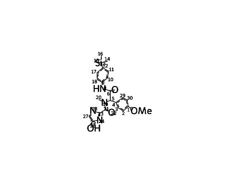 COc1ccc(C(C(=O)Nc2ccc([Si](C)(C)C)cc2)N(C)C(=O)C2=NC(O)=C=N2)cc1